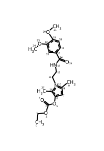 CCOC(=O)Oc1cc(C)n(CCNC(=O)c2ccc(OC)c(OC)c2)c1C